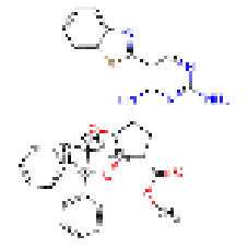 COC(=O)[C@H]1C[C@@H](Nc2nc(N)ncc2-c2nc3ccccc3s2)[C@H](OC)[C@@H]1O[Si](c1ccccc1)(c1ccccc1)C(C)(C)C